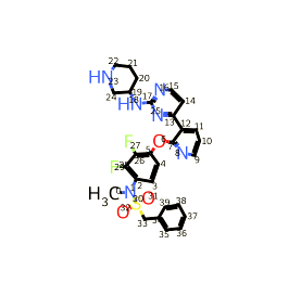 CN(c1ccc(Oc2ncccc2-c2ccnc(NC3CCCNC3)n2)c(F)c1F)S(=O)(=O)Cc1ccccc1